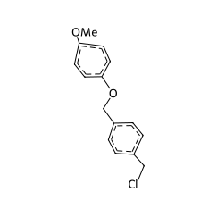 COc1ccc(OCc2ccc(CCl)cc2)cc1